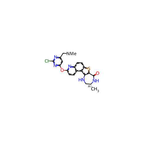 CNCc1cc(Oc2ccc3c(ccc4sc5c(c43)NC[C@@H](C)NC5=O)n2)nc(Cl)n1